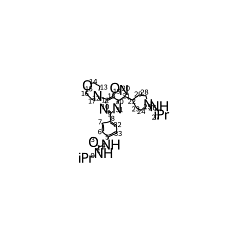 CC(C)NC(=O)Nc1ccc(-c2nc(N3CCOCC3)c3onc(C4CCN(NC(C)C)CC4)c3n2)cc1